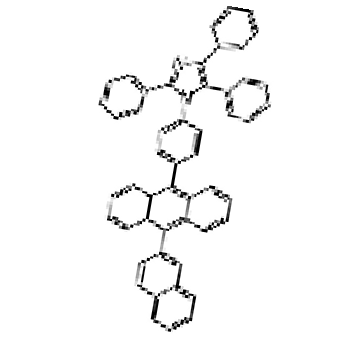 C1=CC2C(c3ccc(-n4c(-c5ccccc5)nc(-c5ccccc5)c4-c4ccccc4)cc3)=c3ccccc3=C(c3ccc4ccccc4c3)C2C=C1